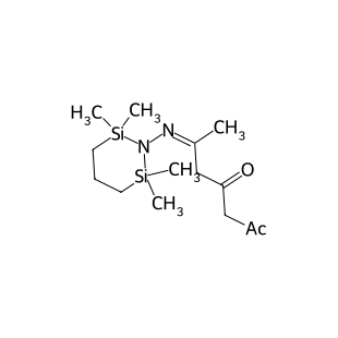 CC(=O)CC(=O)CC(C)=NN1[Si](C)(C)CCC[Si]1(C)C